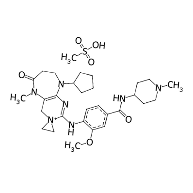 COc1cc(C(=O)NC2CCN(C)CC2)ccc1NC1=NC2=C(C[N+]13CC3)N(C)C(=O)CCN2C1CCCC1.CS(=O)(=O)O